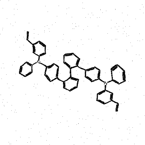 C=Cc1cccc(N(c2ccccc2)c2ccc(-c3ccccc3-c3ccccc3-c3ccc(N(c4ccccc4)c4cccc(C=C)c4)cc3)cc2)c1